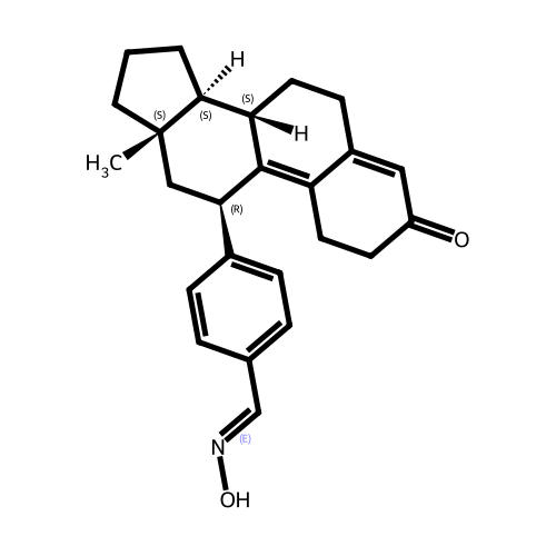 C[C@@]12CCC[C@H]1[C@@H]1CCC3=CC(=O)CCC3=C1[C@@H](c1ccc(/C=N/O)cc1)C2